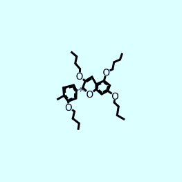 CCCCOC1=Cc2c(OCCCC)cc(OCCCC)cc2O[C@@H]1c1ccc(C)c(OCCCC)c1